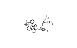 CCN(CC)CCCN(C)CCC1CCCCN1C(=O)N1c2ccccc2C(=O)Nc2cccnc21